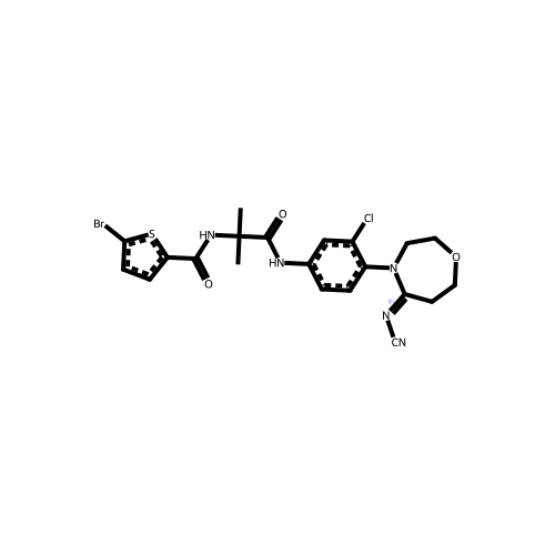 CC(C)(NC(=O)c1ccc(Br)s1)C(=O)Nc1ccc(N2CCOCC/C2=N\C#N)c(Cl)c1